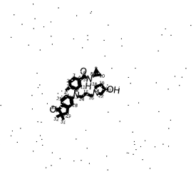 Cc1ccc(C(=O)NC2CC2)cc1N(CCCN1CC[C@@H](O)C1)c1ccc2c(c1)CC(C)(C)C2=O